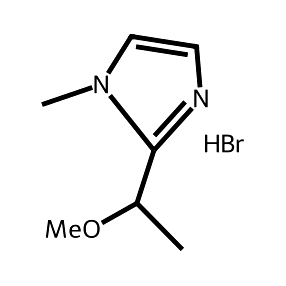 Br.COC(C)c1nccn1C